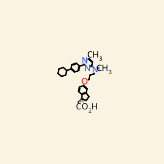 Cc1cc(N(C)CCCOc2ccc3c(c2)CC[C@H]3CC(=O)O)nc(-c2ccc(C3CCCCC3)cc2)n1